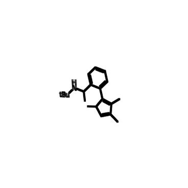 CC1=CC(C)C(c2ccccc2C(C)NC(C)(C)C)=C1C